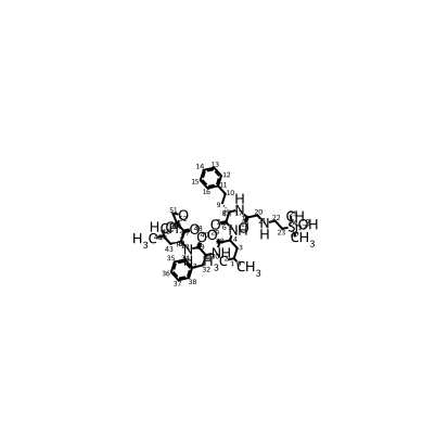 CC(C)CC(NC(=O)[C@H](CCc1ccccc1)NC(=O)CNCC[Si](C)(C)O)C(=O)N[C@@H](Cc1ccccc1)C(=O)N[C@@H](CC(C)C)C(=O)[C@@]1(C)CO1